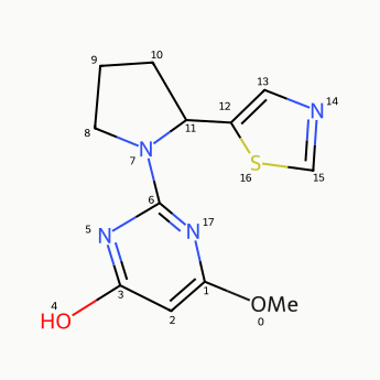 COc1cc(O)nc(N2CCCC2c2cncs2)n1